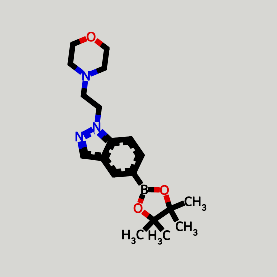 CC1(C)OB(c2ccc3c(cnn3CCN3CCOCC3)c2)OC1(C)C